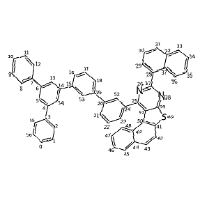 c1ccc(-c2cc(-c3ccccc3)cc(-c3cccc(-c4cccc(-c5nc(-c6cccc7ccccc67)nc6sc7ccc8ccccc8c7c56)c4)c3)c2)cc1